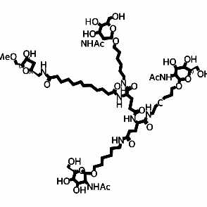 COC[C@@H]1O[C@H](CNC(=O)CCCCCCCCCCC(=O)NC(CCC(=O)NC(CCC(=O)NCCCCCCOC2O[C@H](CO)C(O)C(O)C2NC(C)=O)C(=O)NCCCCCCOC2O[C@H](CO)C(O)C(O)C2NC(C)=O)C(=O)NCCCCCCOC2OC(CO)C(O)C(O)C2NC(C)=O)C[C@H]1O